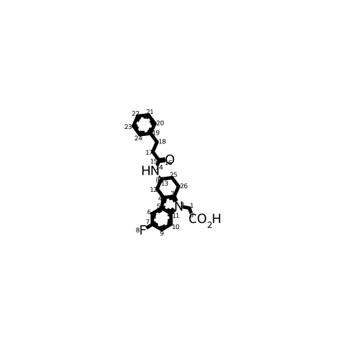 O=C(O)Cn1c2c(c3cc(F)ccc31)C[C@H](NC(=O)CCc1ccccc1)CC2